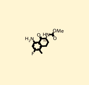 COC(=O)N[C@H]1CCc2c(C)c(F)cc(N)c2C1=O